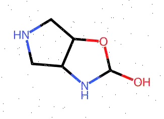 OC1NC2CNCC2O1